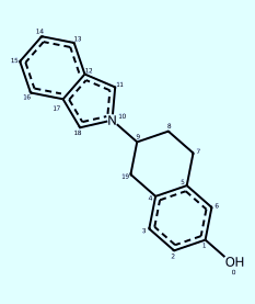 Oc1ccc2c(c1)CCC(n1cc3ccccc3c1)C2